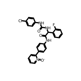 O=C(Nc1ccc(Cl)cc1)NC(C(=O)Nc1ccc(-c2cccc[n+]2[O-])cc1)c1ccccc1F